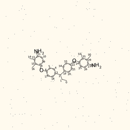 CCC(c1ccc(Oc2ccc(N)c(C)c2C)cc1)c1ccc(Oc2ccc(N)c(C)c2C)cc1